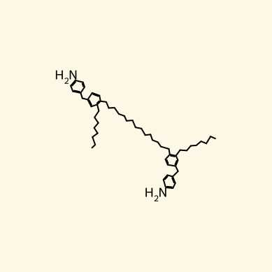 CCCCCCCCc1cc(Cc2ccc(N)cc2)ccc1CCCCCCCCCCCCCCCc1ccc(Cc2ccc(N)cc2)cc1CCCCCCCC